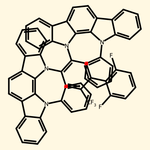 Fc1cccc(F)c1-c1cc(-n2c3ccccc3c3ccc4c5ccccc5n(-c5ccccc5)c4c32)c(-n2c3ccccc3c3ccc4c5ccccc5n(-c5ccccc5)c4c32)cc1C(F)(F)F